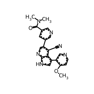 COc1ccncc1-c1c[nH]c2ncc(-c3cncc(C(=O)N(C)C)c3)c(C#N)c12